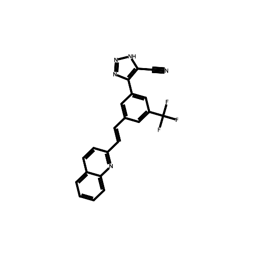 N#Cc1[nH]nnc1-c1cc(/C=C/c2ccc3ccccc3n2)cc(C(F)(F)F)c1